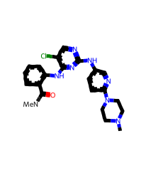 CNC(=O)c1ccccc1Nc1nc(Nc2ccc(N3CCN(C)CC3)nc2)ncc1Cl